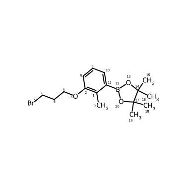 Cc1c(OCCCBr)cccc1B1OC(C)(C)C(C)(C)O1